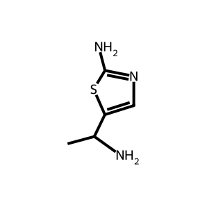 CC(N)c1cnc(N)s1